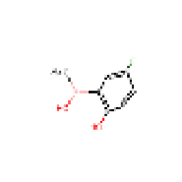 COB(O)c1cc(Cl)ccc1O